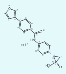 CC[C@]1(N)C[C@H]1c1ccc(NC(=O)c2ccc(-c3ccoc3)cc2)cc1.Cl